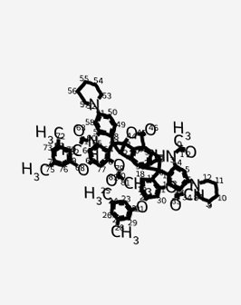 CC(=O)Nc1cc(N2CCCCC2)ccc1C1(c2ccc(Oc3cc(C)cc(C)c3)cc2OC(C)=O)c2c3c(c4c5c2C2C5(OC4=O)C2(c2ccc(N4CCCCC4)cc2NC(C)=O)c2ccc(Oc4cc(C)cc(C)c4)cc2OC(C)=O)C31